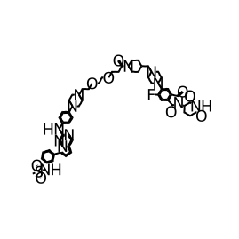 CS(=O)(=O)Nc1cccc(-c2ccc3cnc(Nc4ccc(N5CCN(CCOCCOCCC(=O)N6CCC(CN7CCN(c8cc9c(cc8F)C(=O)N(C8CCC(=O)NC8=O)C9=O)CC7)CC6)CC5)cc4)nn23)c1